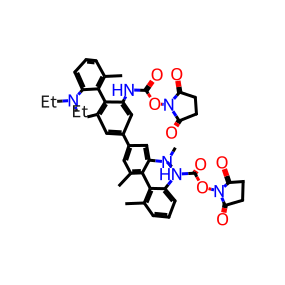 CCN(CC)c1cccc(C)c1-c1c(C)cc(-c2cc(C)c(-c3c(C)cccc3NC(=O)ON3C(=O)CCC3=O)c(N(C)C)c2)cc1NC(=O)ON1C(=O)CCC1=O